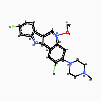 CC(C)On1cc2c3ccc(F)cc3nc-2c2cc(F)c(N3CCN(C)CC3)cc21